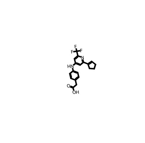 O=C(O)Cc1ccc(Nc2cc(C3=CCCC3)nc(C(F)(F)F)c2)cc1